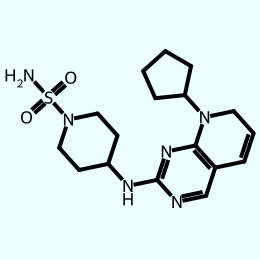 NS(=O)(=O)N1CCC(Nc2ncc3c(n2)N(C2CCCC2)CC=C3)CC1